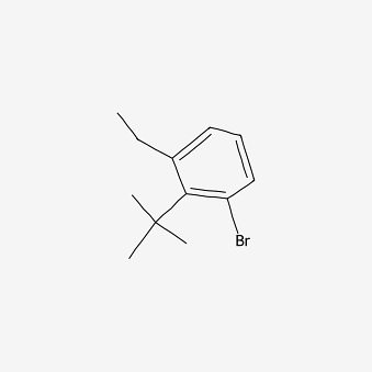 CCc1cccc(Br)c1C(C)(C)C